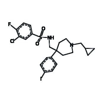 O=S(=O)(NCC1(c2ccc(I)cc2)CCN(CC2CC2)CC1)c1ccc(F)c(Cl)c1